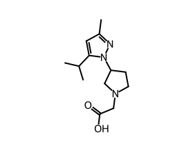 Cc1cc(C(C)C)n(C2CCN(CC(=O)O)C2)n1